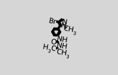 CC(C)NC(=O)Nc1cccc(-c2c(Br)cnn2C)c1